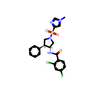 Cn1cnc(S(=O)(=O)N2C[C@H](NC(=O)c3ccc(F)cc3Cl)[C@@H](c3ccccc3)C2)c1